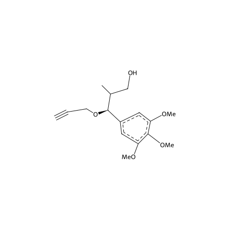 C#CCO[C@H](c1cc(OC)c(OC)c(OC)c1)C(C)CO